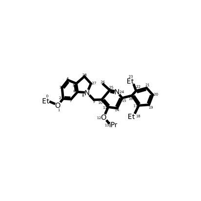 CCOc1ccc2c(c1)N(Cc1c(OC(C)C)cc(-c3c(CC)cccc3CC)nc1C)CC2